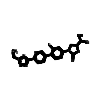 C=Cn1nnc(-c2ccc(-c3ccc(N4CC(C(O)CC)OC4=O)cc3F)cn2)n1